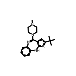 CN1CCN(C2=Nc3ccccc3Nc3sc(C(C)(C)C)cc32)CC1